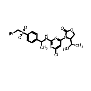 CC(C)CS(=O)(=O)c1ccc([C@H](C)Nc2nc(Cl)cc(N3C(=O)OCC3[C@@H](C)O)n2)cc1